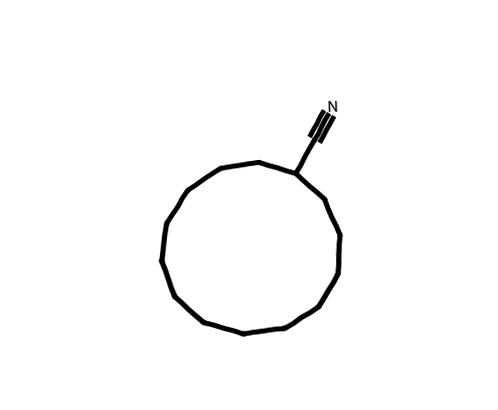 N#CC1CCCCCCCCCCCCC1